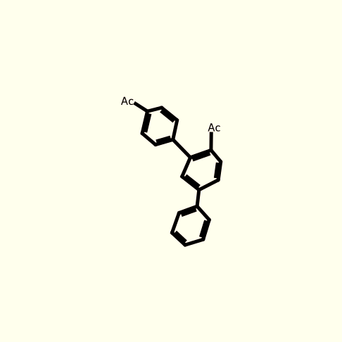 CC(=O)c1ccc(-c2cc(-c3ccccc3)ccc2C(C)=O)cc1